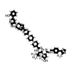 Cc1ncsc1-c1ccc(CNC(=O)[C@@H]2C[C@@H](O)CN2C(=O)[C@@H](NC(=O)C2CCN(C3CCN(c4cnc(C56CC7CN(c8cc(-c9ccccc9O)nnc8N)CC(C5)N76)nc4)CC3)CC2)C(C)(C)C)cc1